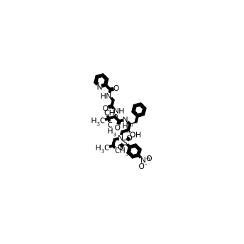 CC(C)CN(C[C@@H](O)[C@H](Cc1ccccc1)NC(=O)[C@@H](NC(=O)CNC(=O)c1ccccn1)C(C)(C)C)S(=O)(=O)c1ccc([N+](=O)[O-])cc1